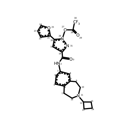 O=C(Nc1ccc2c(c1)CCN(C1CCC1)CC2)c1cc(-c2ccco2)n(OC(=O)C(F)(F)F)n1